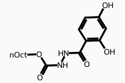 CCCCCCCCOC(=O)NNC(=O)c1ccc(O)cc1O